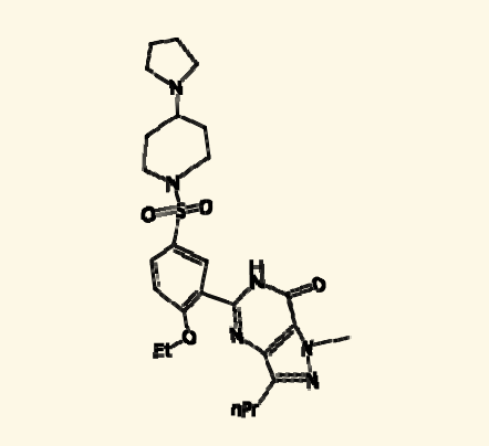 CCCc1nn(C)c2c(=O)[nH]c(-c3cc(S(=O)(=O)N4CCC(N5CCCC5)CC4)ccc3OCC)nc12